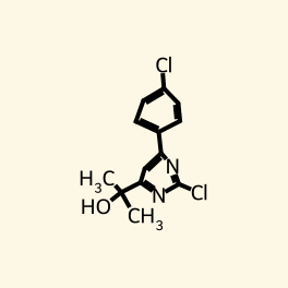 CC(C)(O)c1cc(-c2ccc(Cl)cc2)nc(Cl)n1